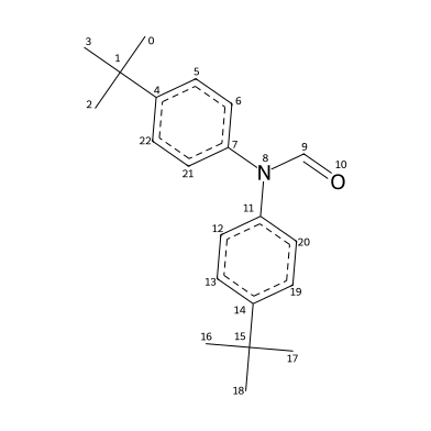 CC(C)(C)c1ccc(N(C=O)c2ccc(C(C)(C)C)cc2)cc1